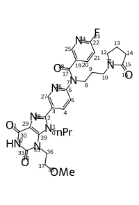 CCCn1c(-c2ccc(N(CCCN3CCCC3=O)C(=O)c3ccc(F)nc3)nc2)nc2c(=O)[nH]c(=O)n(CCOC)c21